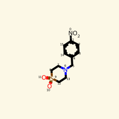 O=[N+]([O-])c1ccc(CN2CCS(=O)(=O)CC2)cc1